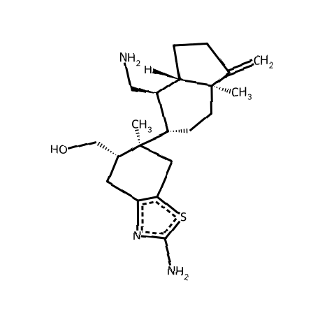 C=C1CC[C@H]2[C@H](CN)[C@@H]([C@@]3(C)Cc4sc(N)nc4C[C@@H]3CO)CC[C@]12C